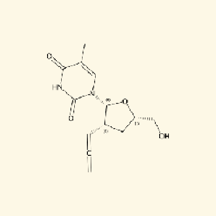 C=C=C[C@H]1C[C@@H](CO)O[C@H]1n1cc(C)c(=O)[nH]c1=O